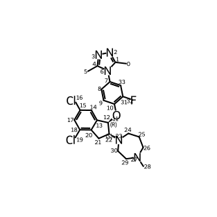 Cc1nnc(C)n1-c1ccc(O[C@@H]2c3cc(Cl)cc(Cl)c3C[C@@H]2N2CCCN(C)CC2)c(F)c1